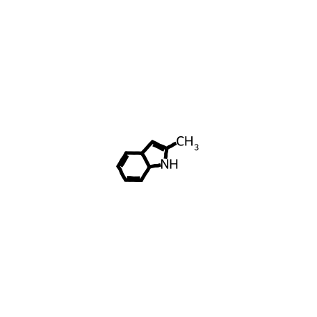 CC1=CC2C=CC=CC2N1